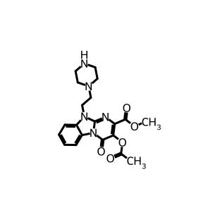 COC(=O)c1nc2n(CCN3CCNCC3)c3ccccc3n2c(=O)c1OC(C)=O